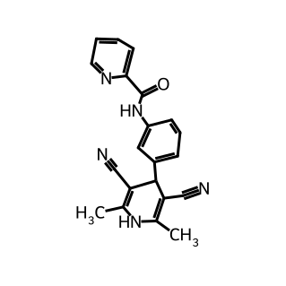 CC1=C(C#N)C(c2cccc(NC(=O)c3ccccn3)c2)C(C#N)=C(C)N1